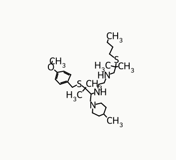 CCCCSC(C)(C)CNCCNC(CN1CCC(C)CC1)C(C)(C)SCc1ccc(OC)cc1